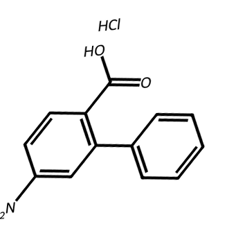 Cl.Nc1ccc(C(=O)O)c(-c2ccccc2)c1